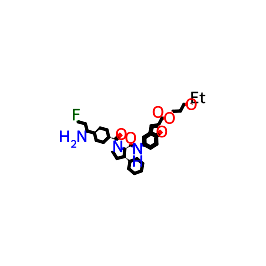 CCOCCCOC(=O)c1cc2cc(NC(=O)[C@@H]3[C@H](C4CCCCC4)CCN3C(=O)[C@H]3CC[C@H]([C@H](N)CCF)CC3)ccc2o1